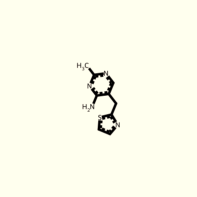 Cc1ncc(Cc2nccs2)c(N)n1